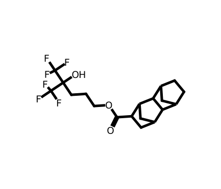 O=C(OCCCC(O)(C(F)(F)F)C(F)(F)F)C1CC2CC1C1C3CCC(C3)C21